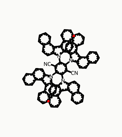 N#Cc1c(-n2c3ccc4ccccc4c3c3c4ccccc4ccc32)c(-n2c3ccc4ccccc4c3c3c4ccccc4ccc32)c(C#N)c(-n2c3ccc4ccccc4c3c3c4ccccc4ccc32)c1-n1c2ccc3ccccc3c2c2c3ccccc3ccc21